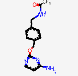 Nc1ccnc(OCc2ccc(CNC(=O)C(F)(F)F)cc2)n1